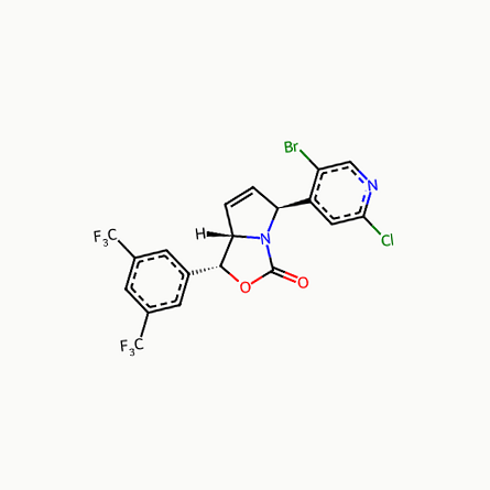 O=C1O[C@H](c2cc(C(F)(F)F)cc(C(F)(F)F)c2)[C@@H]2C=C[C@@H](c3cc(Cl)ncc3Br)N12